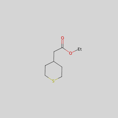 CCOC(=O)CC1CCSCC1